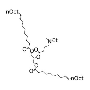 CCCCCCCCC=CCCCCCCCC(=O)OCC(COC(=O)CCCCCCCC=CCCCCCCCC)OC(=O)CCCN(C)CC